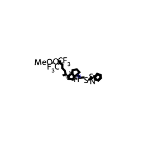 COCOC(CCCC(C)[C@H]1CC[C@H]2/C(=C/CSc3nc4ccccc4s3)CCC[C@]12C)(C(F)(F)F)C(F)(F)F